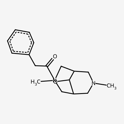 CN1CC2CN(C)CC(C1)C2OC(=O)Cc1ccccc1